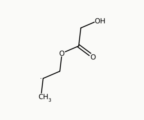 C[CH]COC(=O)CO